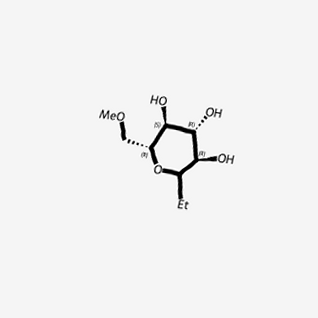 CCC1O[C@H](COC)[C@@H](O)[C@H](O)[C@H]1O